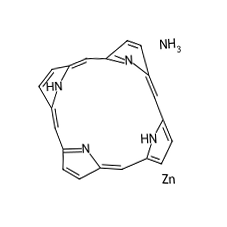 C1=Cc2cc3ccc(cc4nc(cc5ccc(cc1n2)[nH]5)C=C4)[nH]3.N.[Zn]